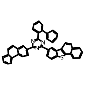 c1ccc(-c2ccccc2-c2nc(-c3ccc4c(ccc5ccccc54)c3)nc(-c3ccc4sc5c6ccccc6ccc5c4c3)n2)cc1